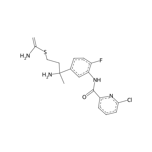 C=C(N)SCCC(C)(N)c1ccc(F)c(NC(=O)c2cccc(Cl)n2)c1